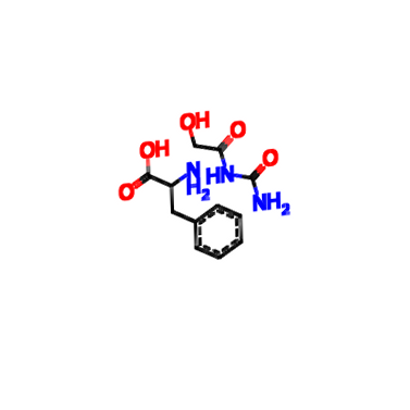 NC(=O)NC(=O)CO.NC(Cc1ccccc1)C(=O)O